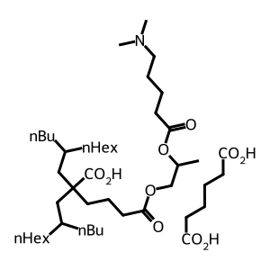 CCCCCCC(CCCC)CC(CCCC(=O)OCC(C)OC(=O)CCCCN(C)C)(CC(CCCC)CCCCCC)C(=O)O.O=C(O)CCCCC(=O)O